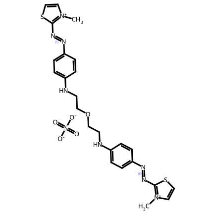 C[n+]1ccsc1/N=N/c1ccc(NCCOCCNc2ccc(/N=N/c3scc[n+]3C)cc2)cc1.O=S(=O)([O-])[O-]